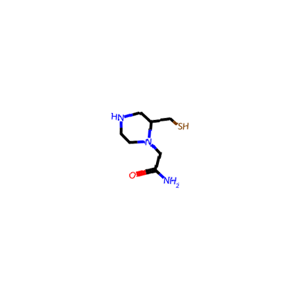 NC(=O)CN1CCNCC1CS